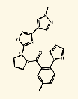 Cc1ccc(-n2nccn2)c(C(=O)N2CCC[C@H]2c2nc(-c3cnn(C)c3)no2)c1